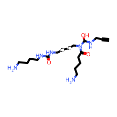 C#CCNC(O)N(CCCCNC(=O)NCCCCN)C(=O)CCCCN